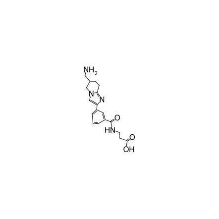 NCC1CCc2nc(-c3cccc(C(=O)NCCC(=O)O)c3)cn2C1